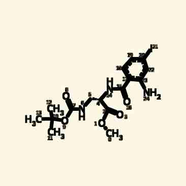 COC(=O)[C@H](CNC(=O)OC(C)(C)C)NC(=O)c1ccc(I)cc1N